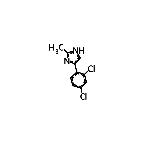 Cc1nc(-c2ccc(Cl)cc2Cl)c[nH]1